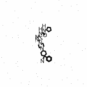 N#CC1(c2ccccc2)CCC(N2CCN(c3nnc(NC(=O)NC4CCCC4)s3)CC2)CC1